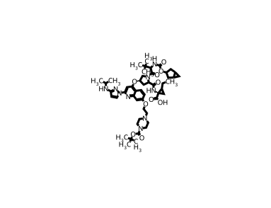 CCC1C[C@]1(NC(=O)C1C[C@@H](Oc2cc(-n3ccc(NC(C)C)n3)nc3cc(OCCN4CCN(C(=O)OC(C)(C)C)CC4)ccc23)CN1C(=O)C(NC(=O)OC1CC2CC2C1)C(C)(C)C)C(=O)O